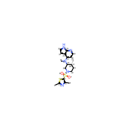 Cc1nc(C)c(S(=O)(=O)N2CC[C@@H](C)C(N(C)c3ccnc4[nH]ccc34)C2)s1